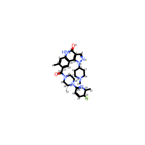 Cc1cc2[nH]c(=O)c3cnn(C4CCN(C)CC4)c3c2cc1C(=O)N1CCN(C2=NC(C)C(F)C=C2)[C@H](C)C1